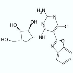 Nc1nc(Cl)c(-c2nc3ccccc3o2)c(N[C@@H]2C[C@H](CO)[C@@H](O)[C@H]2O)n1